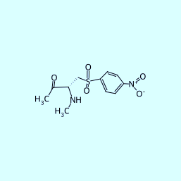 CN[C@@H](CS(=O)(=O)c1ccc([N+](=O)[O-])cc1)C(C)=O